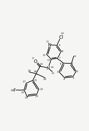 Cc1ccccc1-c1cc(Cl)ncc1N(C)C(=O)C(C)(C)c1cccc(F)c1